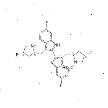 O=C(O)N1C[C@@H](F)C[C@H]1Cn1c(-c2[nH]c3cc(F)ccc3c2C[C@@H]2C[C@H](F)CN2)nc2cc(F)ccc21